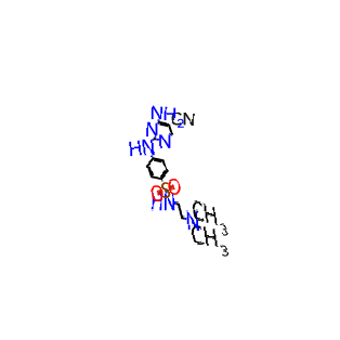 CN(C)CCNS(=O)(=O)c1ccc(Nc2ncc(C#N)c(N)n2)cc1